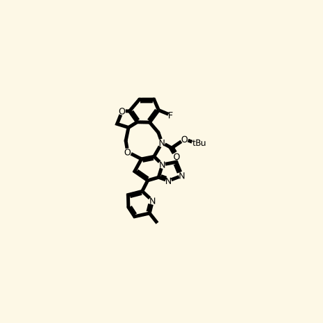 Cc1cccc(-c2cc3c(n4cnnc24)N(C(=O)OC(C)(C)C)Cc2c(F)ccc4c2C(CO4)CO3)n1